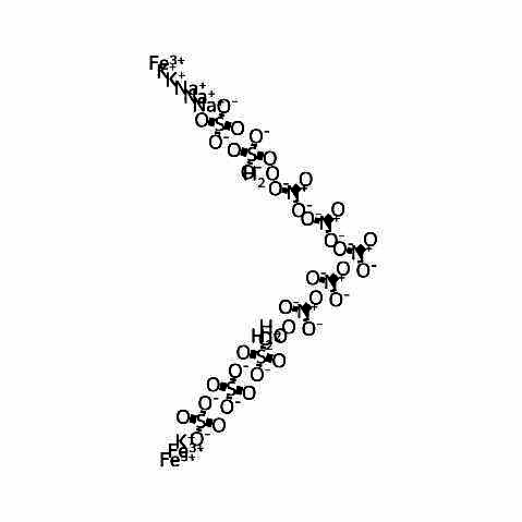 O.O.O.O=S(=O)([O-])[O-].O=S(=O)([O-])[O-].O=S(=O)([O-])[O-].O=S(=O)([O-])[O-].O=S(=O)([O-])[O-].O=[N+]([O-])[O-].O=[N+]([O-])[O-].O=[N+]([O-])[O-].O=[N+]([O-])[O-].O=[N+]([O-])[O-].[Fe+3].[Fe+3].[Fe+3].[K+].[K+].[K+].[Na+].[Na+].[Na+]